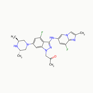 CC(=O)Cn1nc(Nc2cc(F)c3nc(C)cn3c2)c2c(F)cc(N3C[C@H](C)N[C@@H](C)C3)cc21